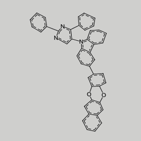 c1ccc(-c2ncc(-n3c4ccccc4c4cc(-c5ccc6c(c5)Oc5cc7ccccc7cc5O6)ccc43)c(-c3ccccc3)n2)cc1